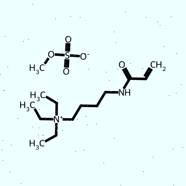 C=CC(=O)NCCCC[N+](CC)(CC)CC.COS(=O)(=O)[O-]